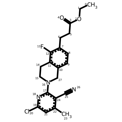 CCOC(=O)CCc1ccc2c(c1F)CCN(c1nc(Cl)cc(C)c1C#N)C2